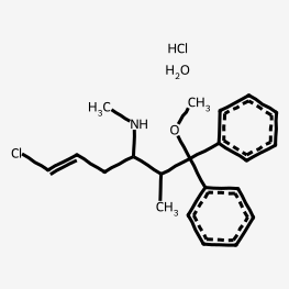 CNC(C/C=C/Cl)C(C)C(OC)(c1ccccc1)c1ccccc1.Cl.O